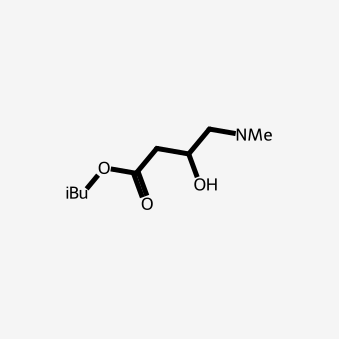 CCC(C)OC(=O)CC(O)CNC